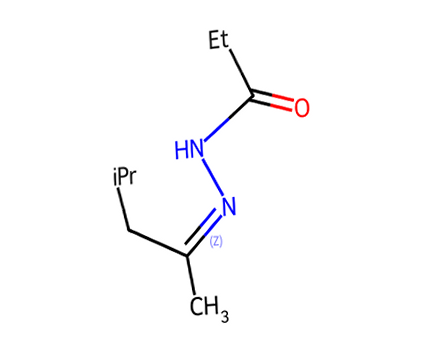 CCC(=O)N/N=C(/C)CC(C)C